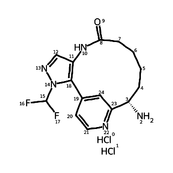 Cl.Cl.N[C@H]1CCCCC(=O)Nc2cnn(C(F)F)c2-c2ccnc1c2